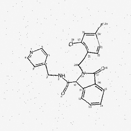 O=C(NCc1ccncc1)C1c2ccccc2C(=O)N1Cc1ccc(F)cc1Cl